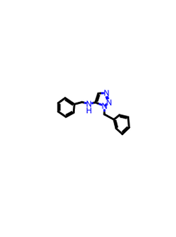 c1ccc(CNc2cnnn2Cc2ccccc2)cc1